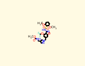 COC(=O)NCc1cnn(Cc2cc(OC(F)F)c3c(NS(=O)(=O)c4c(OC)cccc4OC)noc3c2)c1